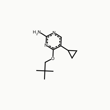 CC(C)(C)COc1nc(N)ncc1C1CC1